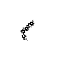 NC1CCN(c2cc(-c3cnc4[nH]c(Cc5cccc(F)c5)nc4c3)c(Cl)cn2)CC1